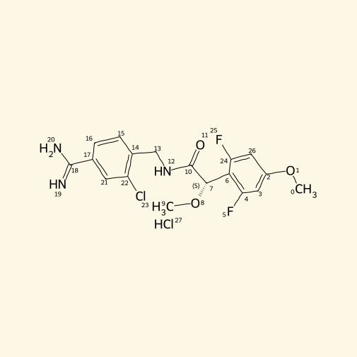 COc1cc(F)c([C@H](OC)C(=O)NCc2ccc(C(=N)N)cc2Cl)c(F)c1.Cl